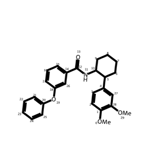 COc1ccc(C2CCCCC2NC(=O)c2cccc(Oc3ccccc3)c2)cc1OC